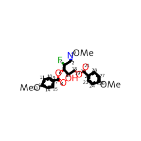 CON=CC(F)C(OC(=O)c1ccc(OC)cc1)C(O)COC(=O)c1ccc(OC)cc1